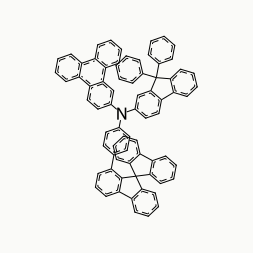 c1ccc(C2(c3ccccc3)c3ccccc3-c3ccc(N(c4ccc(-c5cccc6c5C5(c7ccccc7-c7ccccc75)c5ccccc5-6)cc4)c4ccc5c6ccccc6c6ccccc6c5c4)cc32)cc1